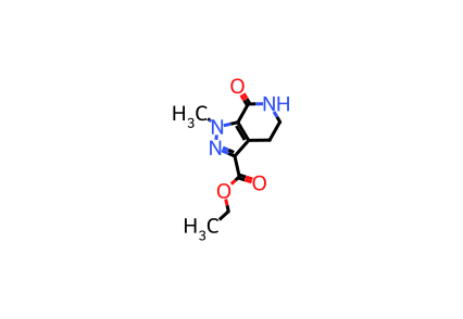 CCOC(=O)c1nn(C)c2c1CCNC2=O